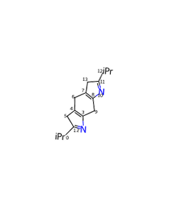 CC(C)C1=NC2=C(C1)CC1=C(C2)N=C(C(C)C)C1